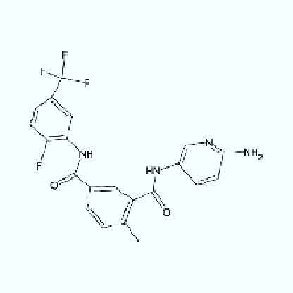 Cc1ccc(C(=O)Nc2cc(C(F)(F)F)ccc2F)cc1C(=O)Nc1ccc(N)nc1